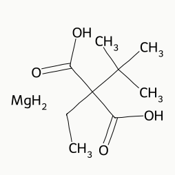 CCC(C(=O)O)(C(=O)O)C(C)(C)C.[MgH2]